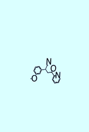 COc1cccc(C(C#N)CC(=O)c2ccccn2)c1